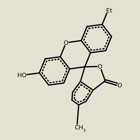 CCc1ccc2c(c1)Oc1cc(O)ccc1C21OC(=O)c2cc(C)ccc21